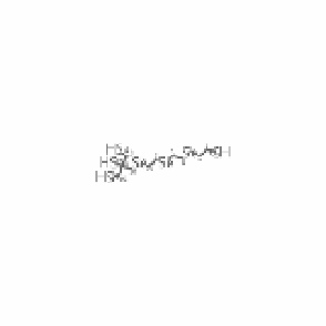 SCC[Se]CC[Se]CC[Se]CC(S)(CS)CS